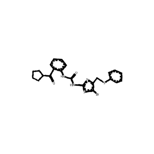 O=C(Nc1nc(CSc2ccccc2)c(Br)s1)Nc1ccccc1C(=O)C1CCCC1